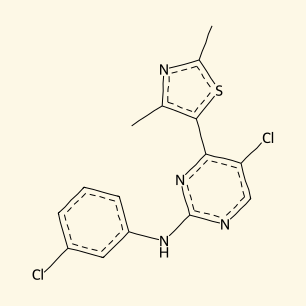 Cc1nc(C)c(-c2nc(Nc3cccc(Cl)c3)ncc2Cl)s1